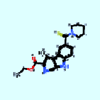 CCOC(=O)c1ncc2[nH]c3ccc(C(=S)N4CCCCC4)cc3c2c1C